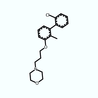 Cc1c(OCCCN2CCOCC2)cccc1-c1ccccc1Cl